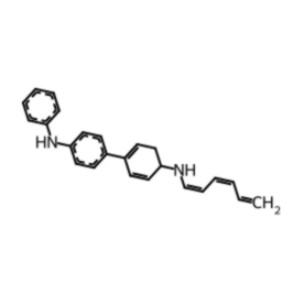 C=C/C=C\C=C/NC1C=CC(c2ccc(Nc3ccccc3)cc2)=CC1